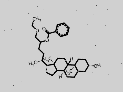 CCOCC(CC[C@@H](C)[C@H]1CCC2[C@@H]3CCC4C[C@@H](O)CC[C@]4(C)[C@H]3CC[C@@]21C)OC(=O)c1ccccc1